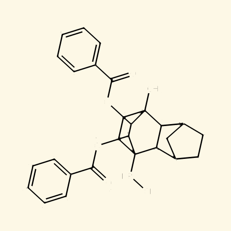 CPC12CCC(C)(C(OC(=O)c3ccccc3)C1OC(=O)c1ccccc1)C1C3CCC(C3)C12